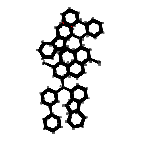 CC(C)c1cc(N(c2cccc(-c3ccccc3)c2)c2cccc3c2sc2ccccc23)c2ccc3c(C(C)C)cc(N(c4ccccc4-c4ccccc4)c4cccc5c4sc4ccccc45)c4ccc1c2c34